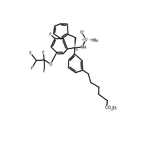 CCOC(=O)CCCCCc1cccc([C@@](Cc2ccccc2)(N[S@+]([O-])C(C)(C)C)c2cc(F)cc(OC(F)(F)C(F)F)c2)c1